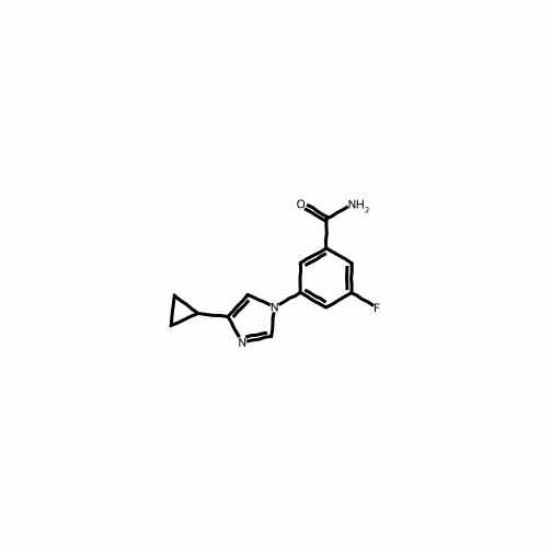 NC(=O)c1cc(F)cc(-n2cnc(C3CC3)c2)c1